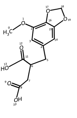 COc1cc(CC(CC(=O)O)C(=O)O)cc2c1OCO2